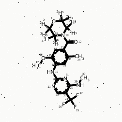 [2H]C1([2H])OC([2H])([2H])C([2H])([2H])N(C(=O)c2cc(OC)c(Nc3ncc(C(F)(F)F)c(NC)n3)cc2C)C1([2H])[2H]